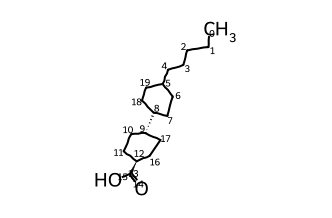 CCCCCC1CCC([C@H]2CC[C@H](C(=O)O)CC2)CC1